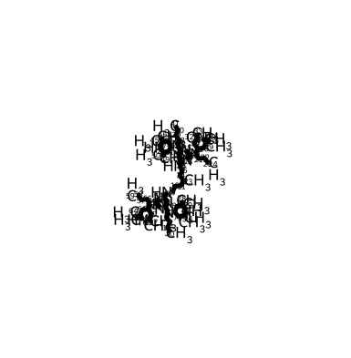 CCCCN(c1nc(NCCCC(C)CCNc2nc(N(CCCC)C3CC(C)(C)NC(C)(C)C3)nc(N(CCCC)C3CC(C)(C)NC(C)(C)C3)n2)nc(N(CCCC)C2CC(C)(C)NC(C)(C)C2)n1)C1CC(C)(C)NC(C)(C)C1